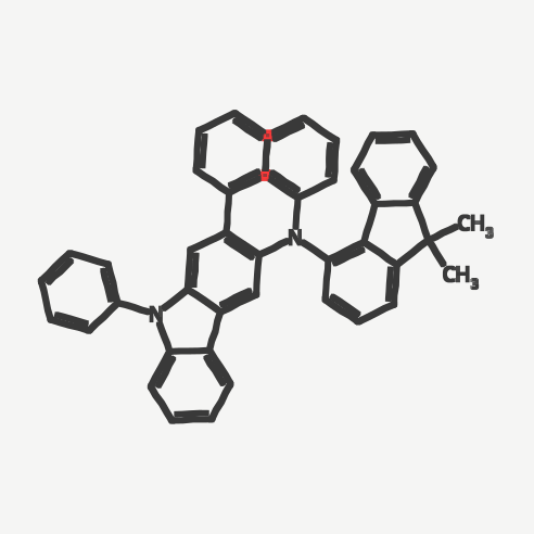 CC1(C)c2ccccc2-c2c(N(c3ccccc3)c3cc4c5ccccc5n(-c5ccccc5)c4cc3-c3ccccc3)cccc21